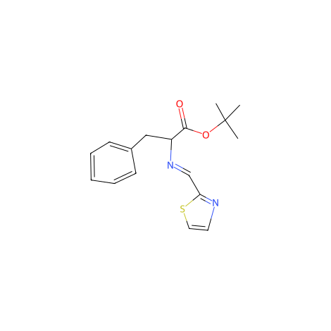 CC(C)(C)OC(=O)C(Cc1ccccc1)N=Cc1nccs1